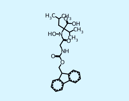 CC(C)CC(C(=O)O)(C(C)C)N(O)C(=O)CNC(=O)OCC1c2ccccc2-c2ccccc21